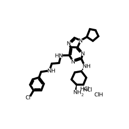 Cl.Cl.Cl.N[C@H]1CC[C@H](Nc2nc(NCCNCc3ccc(Cl)cc3)c3ncn(C4CCCC4)c3n2)CC1